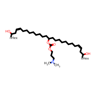 CCCCCCC(O)C/C=C\CCCCCCCCC(CCCCCCCC/C=C\CC(O)CCCCCC)OC(=O)OCCCN(C)C